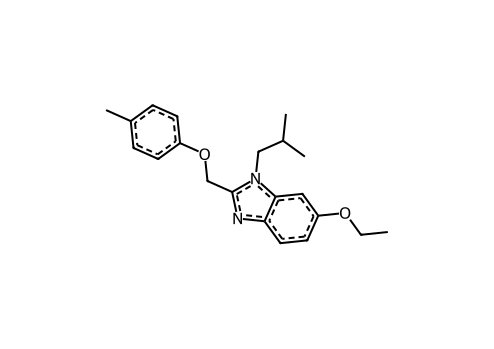 CCOc1ccc2nc(COc3ccc(C)cc3)n(CC(C)C)c2c1